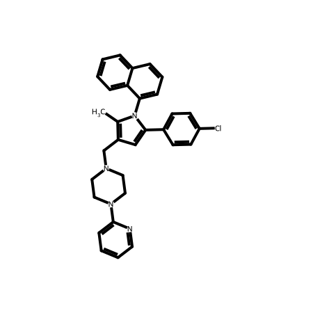 Cc1c(CN2CCN(c3ccccn3)CC2)cc(-c2ccc(Cl)cc2)n1-c1cccc2ccccc12